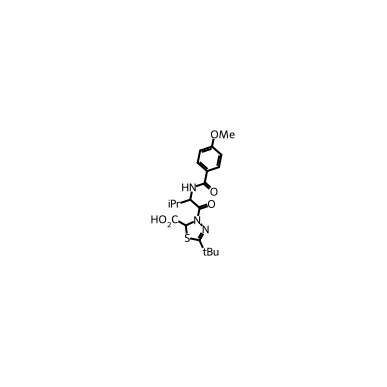 COc1ccc(C(=O)NC(C(=O)N2N=C(C(C)(C)C)SC2C(=O)O)C(C)C)cc1